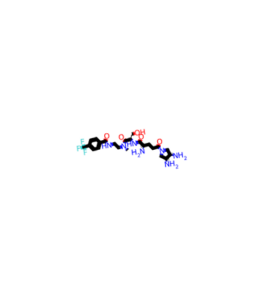 CN(CCNC(=O)c1ccc(C(F)(F)F)cc1)C(=O)[C@H](CO)NC(=O)[C@@H](N)CCC(=O)N1C[C@@H](N)[C@@H](N)C1